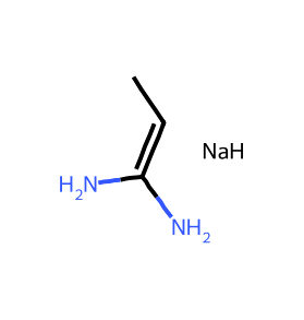 CC=C(N)N.[NaH]